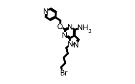 Nc1nc(OCc2ccncc2)nc2c1cnn2CCCCCBr